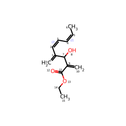 C=C(/C=C\C=C/C)C(O)C(=C)C(=O)OCC